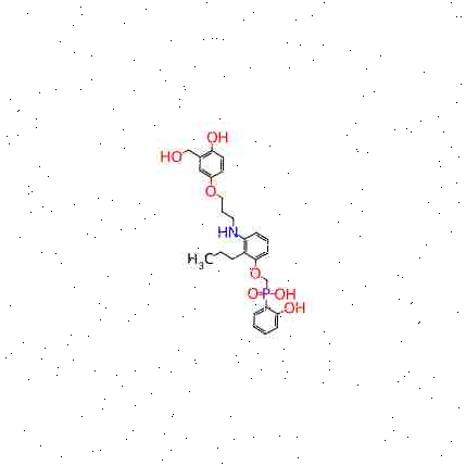 CCCc1c(NCCCOc2ccc(O)c(CO)c2)cccc1OCP(=O)(O)c1ccccc1O